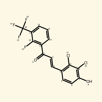 O=C(/C=C/c1ccc(O)c(Cl)c1Cl)c1cccc(C(F)(F)F)c1F